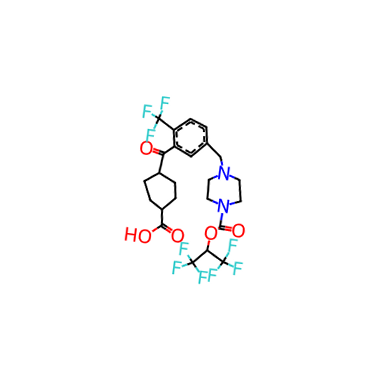 O=C(O)C1CCC(C(=O)c2cc(CN3CCN(C(=O)OC(C(F)(F)F)C(F)(F)F)CC3)ccc2C(F)(F)F)CC1